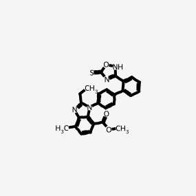 CCc1nc2c(C)ccc(C(=O)OC)c2n1-c1ccc(-c2ccccc2-c2nc(=S)o[nH]2)cc1